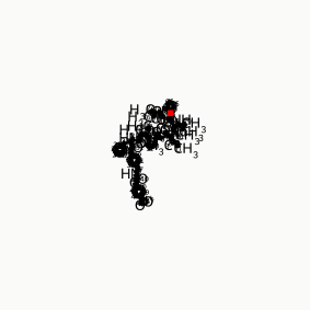 CC[C@H](C)[C@@H]([C@@H](CC(=O)N1CCC[C@H]1[C@H](OC)[C@@H](C)C(=O)N[C@@H](Cc1ccccc1)C(=O)Nc1ccc(CNC(=O)Oc2ccc([N+](=O)[O-])cc2)cc1)OC)N(C)C(=O)[C@@H](NC(=O)C1C2CCC(C2)N1C(=O)OC(C)(C)C)C(C)C